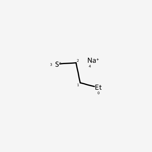 CCCC[S-].[Na+]